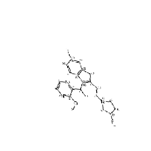 COc1nccnc1C(C)C1=C(CCN2CCC(F)C2)Cc2cc(C)ccc21